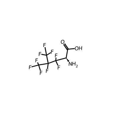 N[C@H](C(=O)O)C(F)(F)C(F)(C(F)(F)F)C(F)(F)F